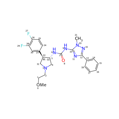 COCCN1C[C@@H](NC(=O)Nc2nc(-c3ccccc3)nn2C)[C@H](c2ccc(F)c(F)c2)C1